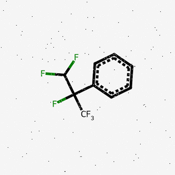 FC(F)C(F)(c1cc[c]cc1)C(F)(F)F